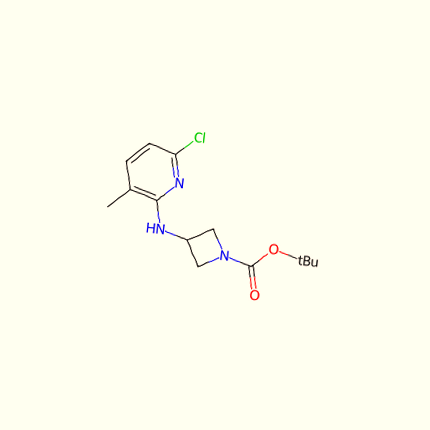 Cc1ccc(Cl)nc1NC1CN(C(=O)OC(C)(C)C)C1